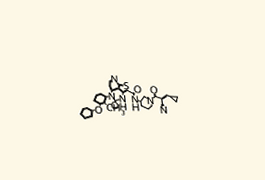 Cc1c(Oc2ccccc2)cccc1N1C(=O)Nc2c(C(=O)N[C@@H]3CCCN(C(=O)/C(C#N)=C/C4CC4)C3)sc3nccc1c23